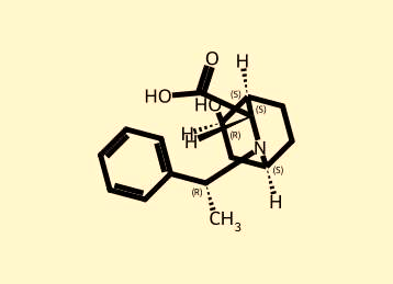 C[C@H](c1ccccc1)N1[C@H]2CC[C@H]([C@H](O)C2)[C@H]1C(=O)O